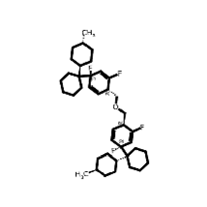 C[C@H]1CC[C@H](C2([C@@]3(F)C=C[C@@H](COC[C@@H]4C=C[C@](F)(C5([C@H]6CC[C@H](C)CC6)CCCCC5)C=C4F)C(F)=C3)CCCCC2)CC1